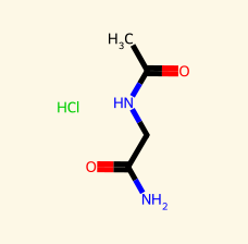 CC(=O)NCC(N)=O.Cl